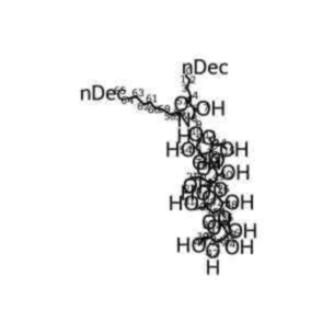 CCCCCCCCCCCCC/C=C/[C@@H](O)[C@H](CO[C@@H]1OC(CO)[C@@H](O[C@@H]2OC(CO)[C@H](O)[C@H](O[C@H]3OC(CO)[C@H](O)[C@H](O[C@H]4OC(CO)[C@H](O)[C@H](O)C4O)C3O)C2O)[C@H](O)C1O)NC(=O)CCCCCCCCCCCCCCCCC